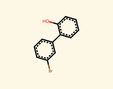 Oc1ccccc1-c1cc[c]c(Br)c1